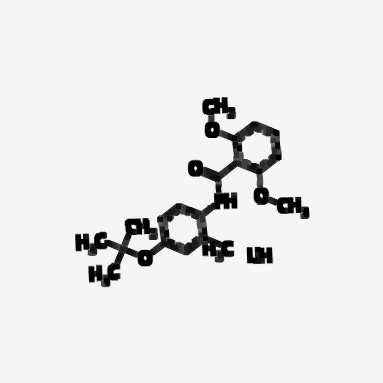 COc1cccc(OC)c1C(=O)Pc1ccc(OC(C)(C)C)cc1C.[LiH]